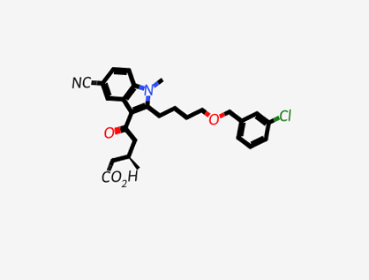 C[C@@H](CC(=O)O)CC(=O)c1c(CCCCOCc2cccc(Cl)c2)n(C)c2ccc(C#N)cc12